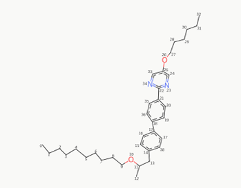 CCCCCCCCCCOC(C)Cc1ccc(-c2ccc(-c3ncc(OCCCCCC)cn3)cc2)cc1